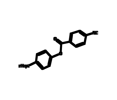 [C-]#[N+]c1ccc(C(=O)Oc2ccc(CCCCCCC)cc2)cc1